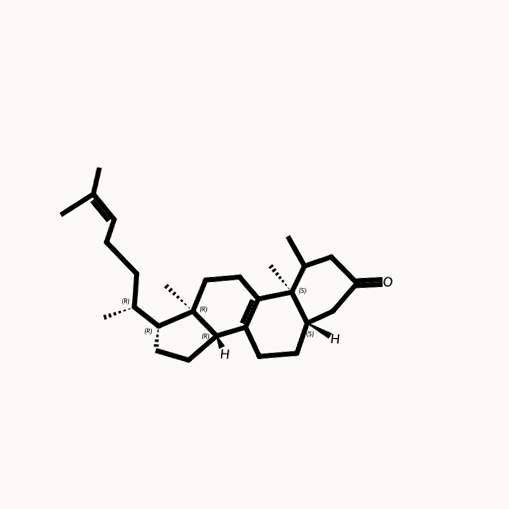 CC(C)=CCC[C@@H](C)[C@H]1CC[C@H]2C3=C(CC[C@]12C)[C@@]1(C)C(C)CC(=O)C[C@@H]1CC3